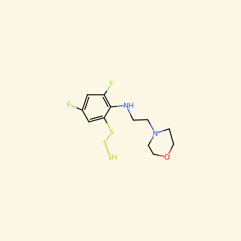 Fc1cc(F)c(NCCN2CCOCC2)c(SSS)c1